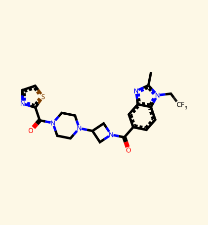 Cc1nc2cc(C(=O)N3CC(N4CCN(C(=O)c5nccs5)CC4)C3)ccc2n1CC(F)(F)F